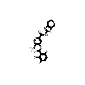 CC(Oc1cc(C(=O)Nc2nc3c(s2)COCC3)nnc1N)c1c(Cl)ccc(F)c1Cl